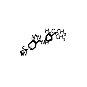 CC(C)(C)c1ccc(Nc2ncnc3c2CCN(c2nccs2)C3)cc1